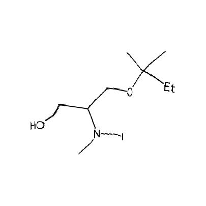 CCC(C)(C)OCC(CO)N(C)I